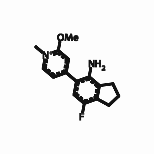 COc1cc(-c2cc(F)c3c(c2N)CCC3)cc[n+]1C